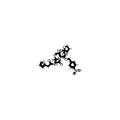 O=C(Cc1cccs1)N[C@@H]1C(=O)N2C(C(=O)OCc3ccc([N+](=O)[O-])cc3)=C(NC3(O)CCCO3)CS[C@@H]12